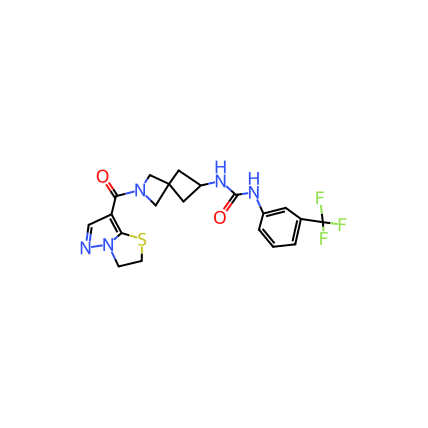 O=C(Nc1cccc(C(F)(F)F)c1)NC1CC2(C1)CN(C(=O)c1cnn3c1SCC3)C2